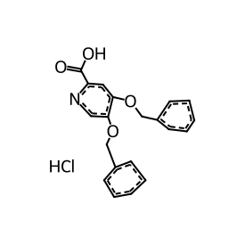 Cl.O=C(O)c1cc(OCc2ccccc2)c(OCc2ccccc2)cn1